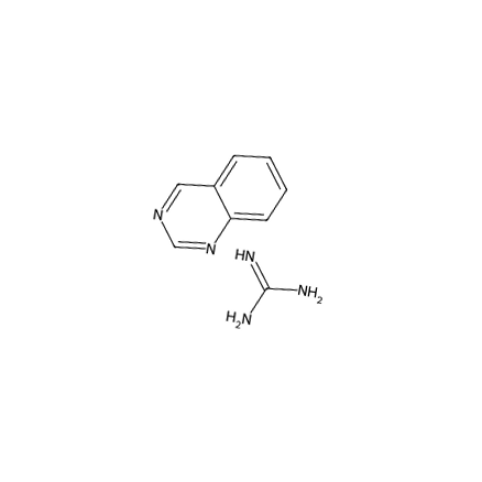 N=C(N)N.c1ccc2ncncc2c1